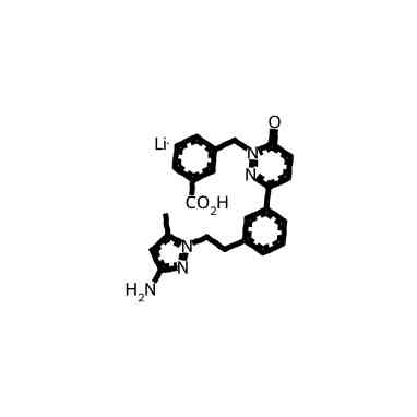 Cc1cc(N)nn1CCc1cccc(-c2ccc(=O)n(Cc3cccc(C(=O)O)c3)n2)c1.[Li]